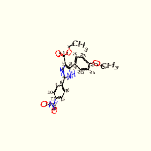 CCOC(=O)c1nc(-c2ccc([N+](=O)[O-])cc2)[nH]c1-c1ccc(OC)cc1